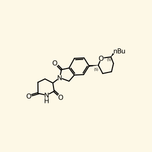 CCCC[C@H]1CCC[C@@H](c2ccc3c(c2)CN(C2CCC(=O)NC2=O)C3=O)O1